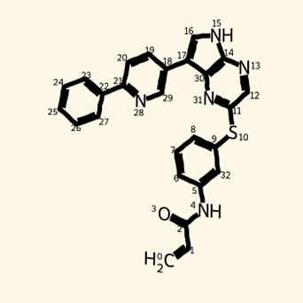 C=CC(=O)Nc1cccc(Sc2cnc3[nH]cc(-c4ccc(-c5ccccc5)nc4)c3n2)c1